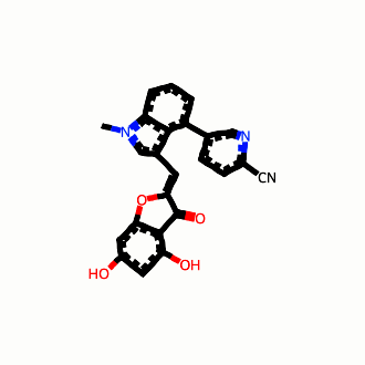 Cn1cc(C=C2Oc3cc(O)cc(O)c3C2=O)c2c(-c3ccc(C#N)nc3)cccc21